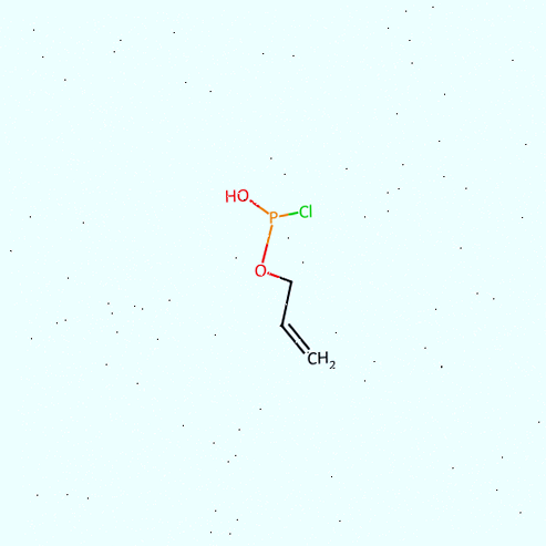 C=CCOP(O)Cl